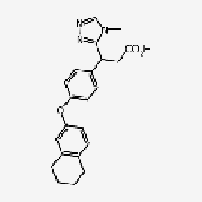 Cn1cnnc1C(CC(=O)O)c1ccc(Oc2ccc3c(c2)CCCC3)cc1